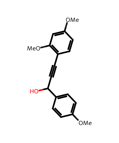 COc1ccc(C(O)C#Cc2ccc(OC)cc2OC)cc1